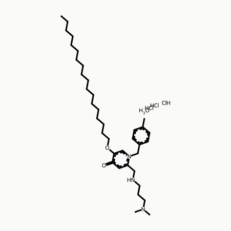 CCCCCCCCCCCCCCCCCCOc1cn(Cc2ccc(C)cc2)c(CNCCCN(C)C)cc1=O.Cl.Cl.Cl.O